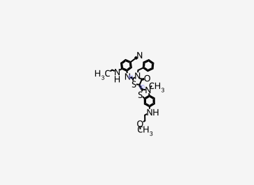 CCNc1ccc(C#N)cc1/N=C1/S/C(=C2\Sc3cc(NCCOC)ccc3N2C)C(=O)N1Cc1ccccc1